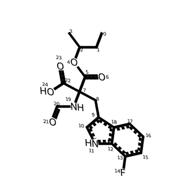 CCC(C)OC(=O)C(Cc1c[nH]c2c(F)cccc12)(NC=O)C(=O)O